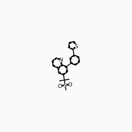 CC(C)(c1cc(-c2cccc(-c3cccs3)c2)c2ncccc2c1)S(C)(=O)=O